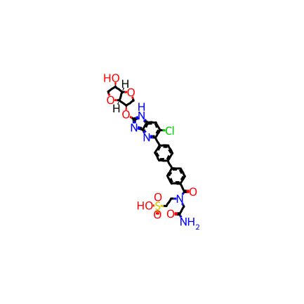 NC(=O)CN(CCS(=O)(=O)O)C(=O)c1ccc(-c2ccc(-c3nc4nc(O[C@@H]5CO[C@H]6[C@@H]5OC[C@H]6O)[nH]c4cc3Cl)cc2)cc1